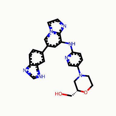 OC[C@@H]1CN(c2ccc(Nc3cc(-c4ccc5nc[nH]c5c4)cn4ccnc34)nc2)CCO1